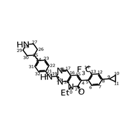 CCn1c(=O)c(-c2ccc(C3CC3)cc2C(F)(F)F)cc2cnc(Nc3ccc(C4CCNCC4)cc3)nc21